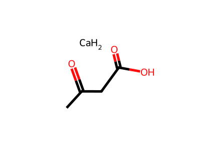 CC(=O)CC(=O)O.[CaH2]